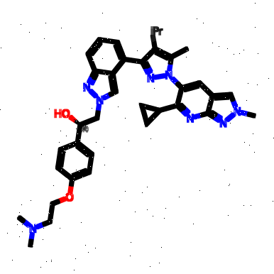 Cc1c(C(C)C)c(-c2cccc3nn(C[C@H](O)c4ccc(OCCN(C)C)cc4)cc23)nn1-c1cc2cn(C)nc2nc1C1CC1